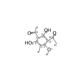 COc1c(C)c(O)c(C(C)=O)c(O)c1C(C)=O